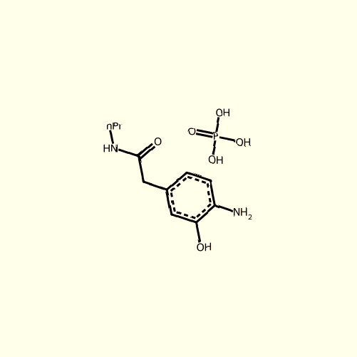 CCCNC(=O)Cc1ccc(N)c(O)c1.O=P(O)(O)O